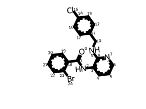 O=C(Nc1cccnc1NCc1ccc(Cl)cc1)c1ccccc1Br